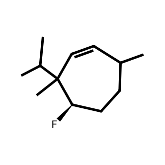 CC1C=CC(C)(C(C)C)[C@H](F)CC1